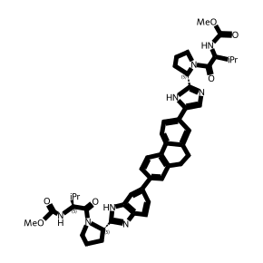 COC(=O)NC(C(=O)N1CCC[C@H]1c1ncc(-c2ccc3c(c2)CCc2cc(-c4ccc5nc([C@@H]6CCCN6C(=O)[C@@H](NC(=O)OC)C(C)C)[nH]c5c4)ccc2-3)[nH]1)C(C)C